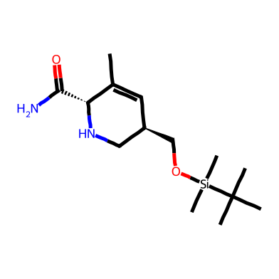 CC1=C[C@@H](CO[Si](C)(C)C(C)(C)C)CN[C@@H]1C(N)=O